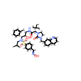 CC(C)CN(C[C@H](O)[C@H](Cc1ccccc1)NC(=O)[C@@H](N1CCN(Cc2ccc3cccnc3c2)C1=O)C(C)(C)C)S(=O)(=O)c1ccc(C=NO)cc1